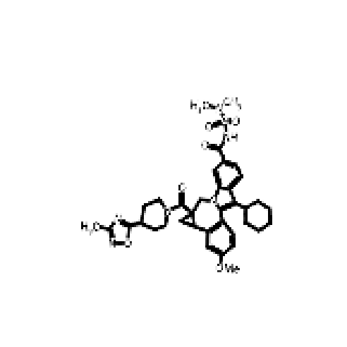 COc1ccc2c(c1)C1CC1(C(=O)N1CCC(c3nc(C)no3)CC1)Cn1c-2c(C2CCCCC2)c2ccc(C(=O)NS(=O)(=O)N(C)C)cc21